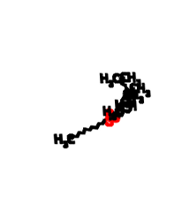 CCCCCCCCCCCCOC(=O)O[C@H]1CC[C@@]2(C)C(=CC[C@H]3[C@@H]4CC[C@H]([C@H](C)CCCC(C)C)[C@@]4(C)CC[C@@H]32)C1